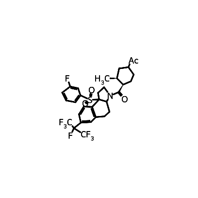 CC(=O)C1CC[C@@H](C(=O)N2CCC3(S(=O)(=O)c4cccc(F)c4)c4ccc(C(F)(C(F)(F)F)C(F)(F)F)cc4CCC23)[C@@H](C)C1